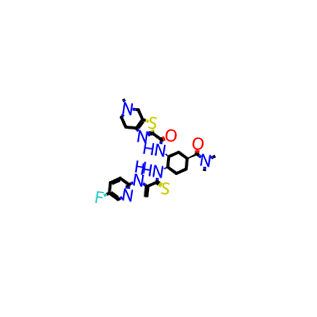 C=C(Nc1ccc(F)cn1)C(=S)N[C@H]1CC[C@H](C(=O)N(C)C)C[C@H]1NC(=O)c1nc2c(s1)CN(C)CC2